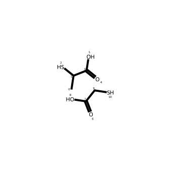 CC(S)C(=O)O.O=C(O)CS